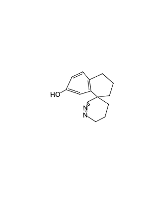 Oc1ccc2c(c1)C1(CCC2)CCCn2cncc21